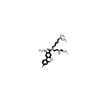 C=CNCCN(CC/C=C/CN(C)C)c1nn(C)c2cc(-c3ccc(F)cc3F)c(Cl)cc12